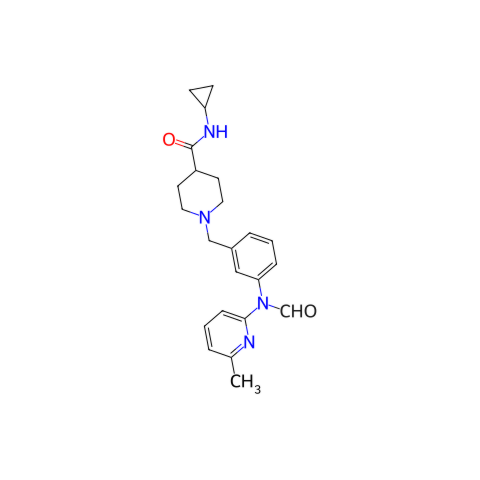 Cc1cccc(N(C=O)c2cccc(CN3CCC(C(=O)NC4CC4)CC3)c2)n1